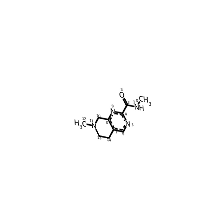 CNC(=O)c1ncc2c(n1)CN(C)CC2